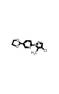 Cc1c(Cl)cnn1-c1ccc(C2OCCO2)cn1